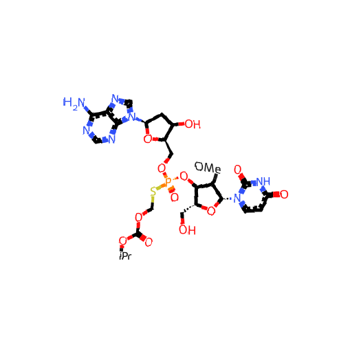 COC1C(O[P@@](=O)(OC[C@H]2O[C@@H](n3cnc4c(N)ncnc43)CC2O)SCOC(=O)OC(C)C)[C@@H](CO)O[C@H]1n1ccc(=O)[nH]c1=O